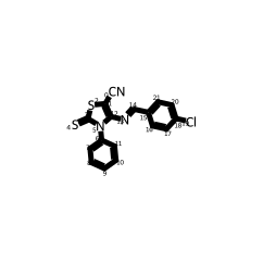 N#Cc1sc(=S)n(-c2ccccc2)c1N=Cc1ccc(Cl)cc1